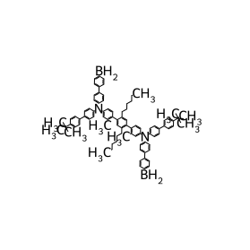 Bc1ccc(-c2ccc(N(c3ccc(-c4ccc(C(C)(C)C)cc4)cc3)c3ccc(-c4cc(CCCCCC)c(-c5ccc(N(c6ccc(-c7ccc(B)cc7)cc6)c6ccc(-c7ccc(C(C)(C)C)cc7)cc6)cc5C)cc4CCCCCC)c(C)c3)cc2)cc1